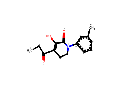 CCC(=O)C1=C(O)C(=O)N(c2cccc(C)c2)CC1